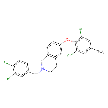 O=[N+]([O-])c1cc(Cl)c(Oc2ccc3c(c2)CCN(Cc2ccc(F)c(F)c2)C3)c(Cl)c1